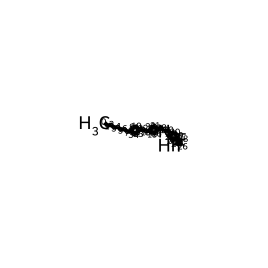 CCCCCCCCc1ccc(CCc2ccc(CNCc3ccc(C(F)(F)F)cc3)cc2)cc1